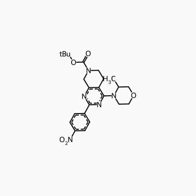 CC1COCCN1c1nc(-c2ccc([N+](=O)[O-])cc2)nc2c1CCN(C(=O)OC(C)(C)C)C2